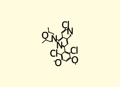 COc1cc(OC)c(Cl)c(-c2cc3cnc(Cl)cc3c(N3CC(C)OC(C)C3)n2)c1Cl